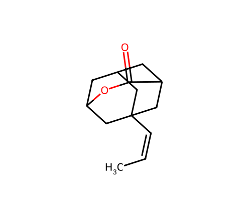 C/C=C\C12CC3CC(C1)OC(=O)C(C3)C2